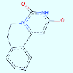 O=c1cc2n(c(=O)[nH]1)CCc1ccccc1-2